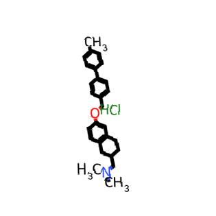 Cc1ccc(-c2ccc(COc3ccc4c(c3)CCC(CN(C)C)C4)cc2)cc1.Cl